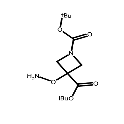 CC(C)COC(=O)C1(ON)CN(C(=O)OC(C)(C)C)C1